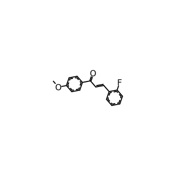 COc1ccc(C(=O)/C=C/c2ccccc2F)cc1